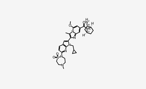 COc1cc(C(=O)N2[C@H]3CC[C@@H]2[C@H](N)C3)cc2nc(-c3cc4ccc(N5CCN(C)CCS5(=O)=O)nc4n3CC3CC3)c(C)n12